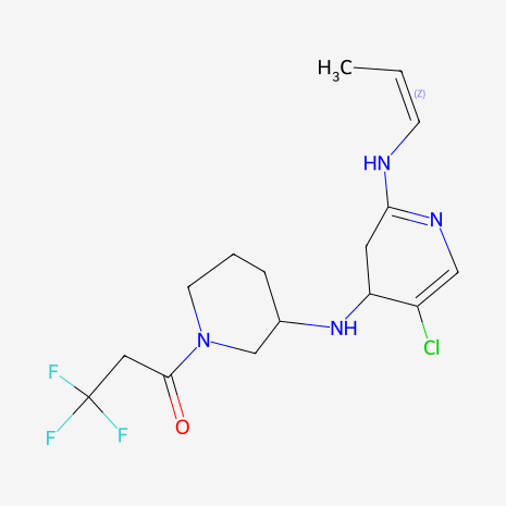 C/C=C\NC1=NC=C(Cl)C(NC2CCCN(C(=O)CC(F)(F)F)C2)C1